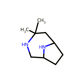 CC1(C)CC2CCC(CN1)N2